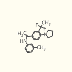 C=C(Nc1cccc(C)c1)c1ccc(N2CCCC2)c(C(C)(F)F)c1